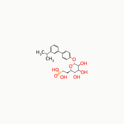 CC(C)c1cccc(-c2ccc(O[C@H]3O[C@H](CCP(=O)(O)O)[C@@H](O)[C@H](O)[C@@H]3O)cc2)c1